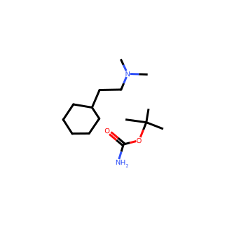 CC(C)(C)OC(N)=O.CN(C)CCC1CCCCC1